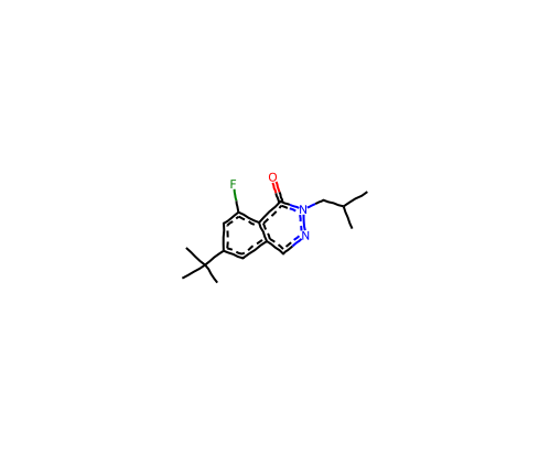 CC(C)Cn1ncc2cc(C(C)(C)C)cc(F)c2c1=O